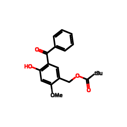 COc1cc(O)c(C(=O)c2ccccc2)cc1COC(=O)C(C)(C)C